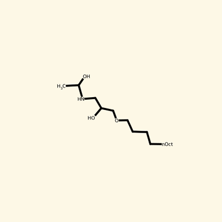 CCCCCCCCCCCCOCC(O)CNC(C)O